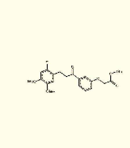 COc1cc(F)c(CCC(=O)c2cccc(OCC(=O)OC(C)(C)C)c2)cc1OC